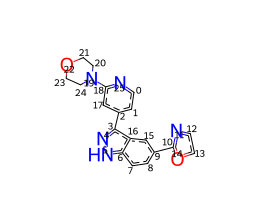 c1cc(-c2n[nH]c3ccc(-c4ncco4)cc23)cc(N2CCOCC2)n1